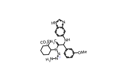 C=C(C(Nc1ccc2[nH]cnc2c1)c1cccc(OC)c1)N(/N=N\N)C1CCCCC1C(=O)OCC